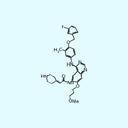 COCCCOc1cc2ncnc(Nc3ccc(OCc4cccc(F)c4)c(C)c3)c2cc1NC(=O)C=C1CCNCC1